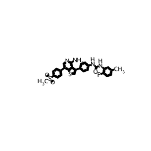 Cc1ccc(F)c(NC(=O)Nc2ccc(-c3csc4c(-c5ccc(S(C)(=O)=O)cc5)cnc(N)c34)cc2)c1